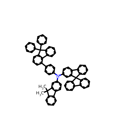 CC1(C)c2ccccc2-c2ccc(N(c3ccc(-c4cccc5c4-c4ccccc4C5(c4ccccc4)c4ccccc4)cc3)c3ccc4c(c3)C3(c5ccccc5-c5ccccc53)c3ccccc3-4)cc21